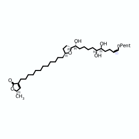 CCCCC/C=C\CC[C@H](O)[C@@H](O)CCCC[C@@H](O)[C@H]1CC[C@H](CCCCCCCCCCCCC2=C[C@H](C)OC2=O)O1